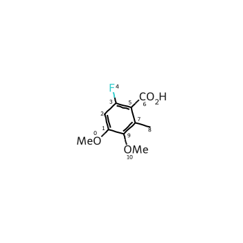 COc1cc(F)c(C(=O)O)c(C)c1OC